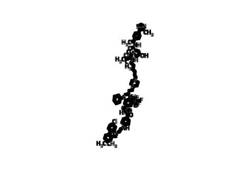 Cc1ncsc1-c1ccc([C@H](C)NC(=O)[C@@H]2C[C@@H](O)CN2C(=O)[C@@H](NCCCCCCN2CCN(CC[C@H](CSc3ccccc3)Nc3ccc(S(=O)(=O)NC(=O)c4ccc(NCCNCC5=C(c6ccc(Cl)cc6)CCC(C)(C)C5)cc4)cc3S(=O)(=O)C(F)(F)F)CC2)C(C)(C)C)cc1